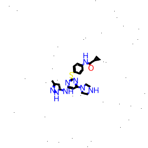 CC1=NNC(Nc2cc(N3CCNCC3)nc(Sc3ccc(NC(=O)C4CC4)cc3)n2)C1